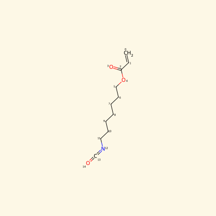 C=CC(=O)OCCCCCCCN=C=O